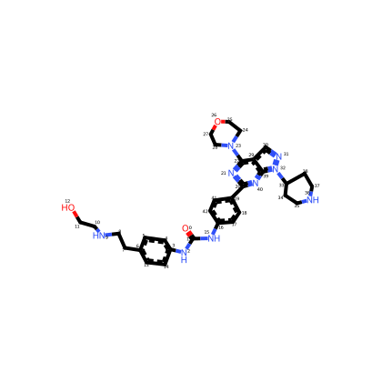 O=C(Nc1ccc(CCNCCO)cc1)Nc1ccc(-c2nc(N3CCOCC3)c3cnn(C4CCNCC4)c3n2)cc1